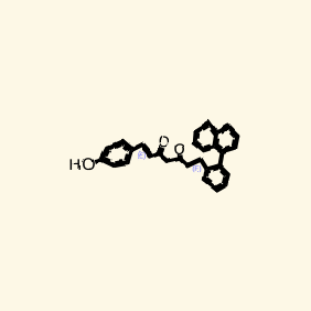 O=C(/C=C/c1ccc(O)cc1)CC(=O)/C=C/c1ccccc1-c1cccc2ccccc12